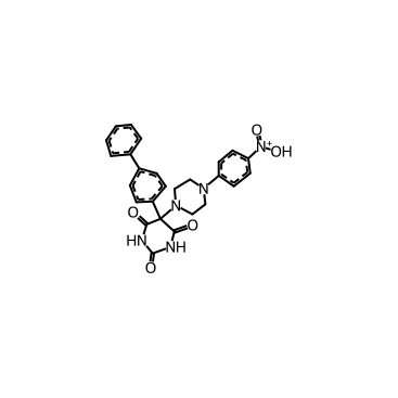 O=C1NC(=O)C(c2ccc(-c3ccccc3)cc2)(N2CCN(c3ccc([N+](=O)O)cc3)CC2)C(=O)N1